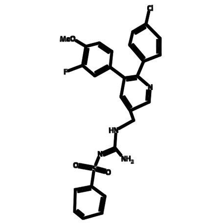 COc1ccc(-c2cc(CN/C(N)=N/S(=O)(=O)c3ccccc3)cnc2-c2ccc(Cl)cc2)cc1F